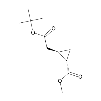 COC(=O)[C@H]1C[C@@H]1CC(=O)OC(C)(C)C